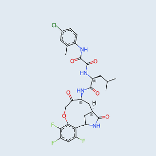 Cc1cc(Cl)ccc1NC(=O)C(=O)N[C@@H](CC(C)C)C(=O)N[C@H]1C[C@@H]2CC(NC2=O)c2c(F)cc(F)c(F)c2OCC1=O